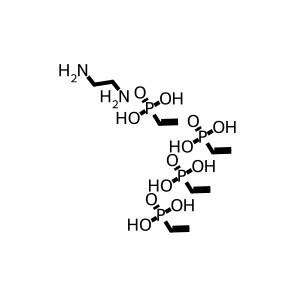 C=CP(=O)(O)O.C=CP(=O)(O)O.C=CP(=O)(O)O.C=CP(=O)(O)O.NCCN